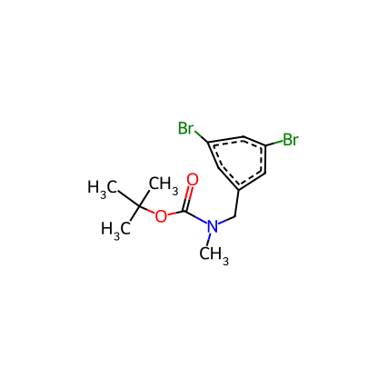 CN(Cc1cc(Br)cc(Br)c1)C(=O)OC(C)(C)C